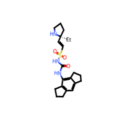 CC[C@@]1(/C=C/S(=O)(=O)NC(=O)Nc2c3c(cc4c2CCC4)CCC3)CCCN1